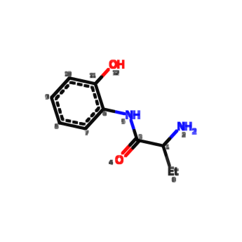 CCC(N)C(=O)Nc1ccccc1O